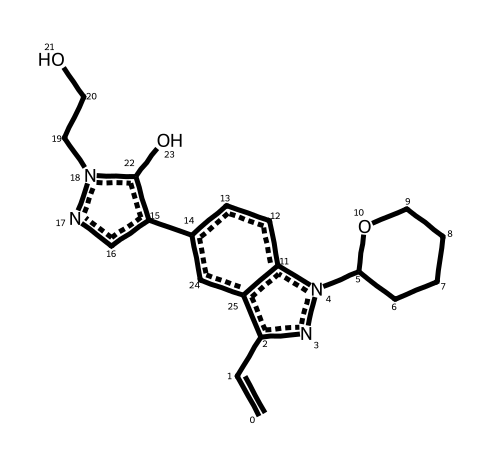 C=Cc1nn(C2CCCCO2)c2ccc(-c3cnn(CCO)c3O)cc12